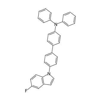 Fc1ccc2c(ccn2-c2ccc(-c3ccc(N(c4ccccc4)c4ccccc4)cc3)cc2)c1